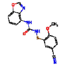 COc1ccc(C#N)cc1SNC(=O)Nc1cccc2ocnc12